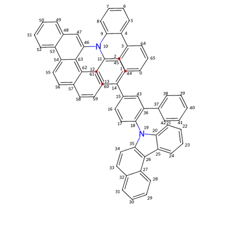 c1ccc(-c2ccccc2N(c2ccc(-c3ccc(-n4c5ccccc5c5c6ccccc6ccc54)c(-c4ccccc4)c3)cc2)c2cc3ccccc3c3ccc4ccccc4c23)cc1